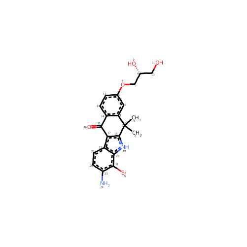 CC1(C)c2cc(OC[C@H](O)CO)ccc2C(=O)c2c1[nH]c1c(Br)c(N)ccc21